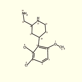 COc1ccc(Cl)c(Cl)c1C1CCNC(CN)C1